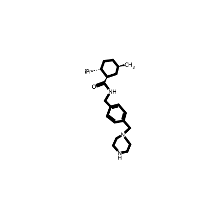 CC(C)[C@@H]1CC[C@@H](C)C[C@H]1C(=O)NCc1ccc(CN2CCNCC2)cc1